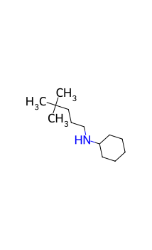 CC(C)(C)CCCNC1CCCCC1